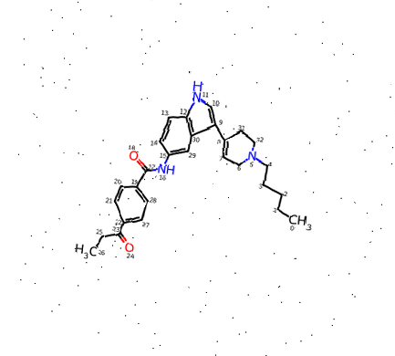 CCCCCN1CC=C(c2c[nH]c3ccc(NC(=O)c4ccc(C(=O)CC)cc4)cc23)CC1